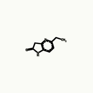 CCc1ccc2c(n1)CC(=O)N2